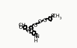 COc1cccc(COCCOCCOCc2ccc(N(Cc3cccc(OC)c3)Cc3ccc4cn[nH]c4c3)nc2)c1